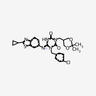 CC1(C)OCC(Cn2c(=O)[nH]/c(=N\c3ccc4nc(C5CC5)sc4c3)n(Cc3ccc(Cl)cc3)c2=O)CO1